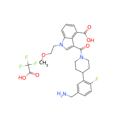 COCCn1cc(C(=O)N2CCC(c3cc(CN)ccc3F)CC2)c2c(C(=O)O)cccc21.O=C(O)C(F)(F)F